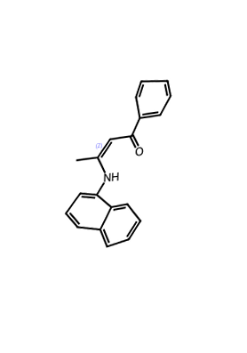 C/C(=C/C(=O)c1ccccc1)Nc1cccc2ccccc12